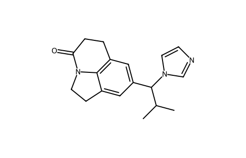 CC(C)C(c1cc2c3c(c1)CCN3C(=O)CC2)n1ccnc1